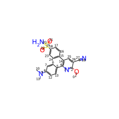 COc1nc(-c2ccc(N(C)C)cc2)c(-c2ccc(S(N)(=O)=O)cc2)cc1C#N